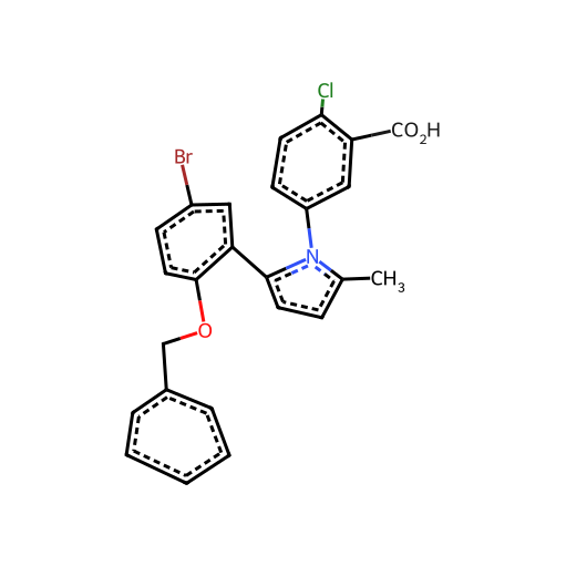 Cc1ccc(-c2cc(Br)ccc2OCc2ccccc2)n1-c1ccc(Cl)c(C(=O)O)c1